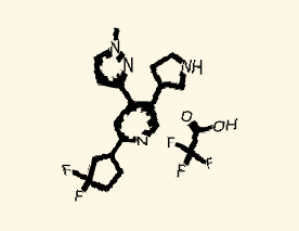 Cn1ccc(-c2cc(C3CCC(F)(F)C3)ncc2C2CCNC2)n1.O=C(O)C(F)(F)F